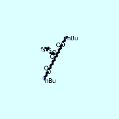 CCCC/C=C\CCOC(=O)CCCCCC(CCCCCC(=O)OCC/C=C\CCCC)OC(=O)CSC(C)(C)CN(C)C